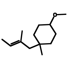 C/C=C(\C)CC1(C)CCC(OC)CC1